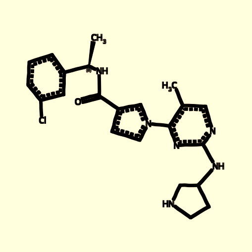 Cc1cnc(NC2CCNC2)nc1-n1ccc(C(=O)N[C@H](C)c2cccc(Cl)c2)c1